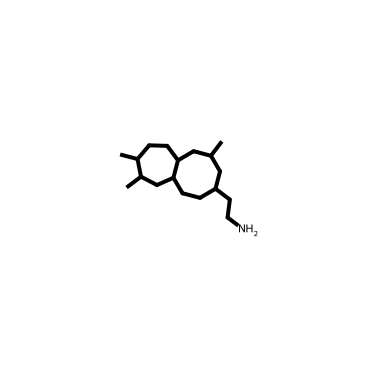 CC1CC(CCN)CCC2CC(C)C(C)CCC2C1